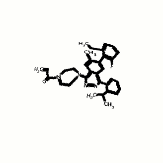 C=CC(=O)N1CCN(c2nnc(-c3ccccc3C(C)C)c3cc(-c4c(F)cccc4CC)c(C)cc23)CC1